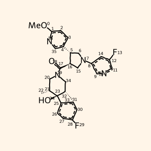 COc1ccc([C@@H]2CN(c3cncc(F)c3)C[C@H]2C(=O)N2C[C@@H](C)[C@@](O)(c3ccc(F)cc3)[C@@H](C)C2)cn1